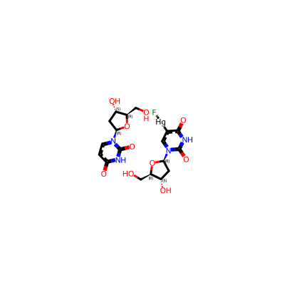 O=c1[nH]c(=O)n([C@H]2C[C@H](O)[C@@H](CO)O2)c[c]1[Hg][F].O=c1ccn([C@H]2C[C@H](O)[C@@H](CO)O2)c(=O)[nH]1